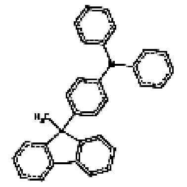 CC1(c2ccc(N(c3ccccc3)c3ccccc3)cc2)c2ccccc2-c2ccccc21